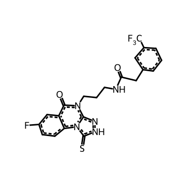 O=C(Cc1cccc(C(F)(F)F)c1)NCCCn1c(=O)c2cc(F)ccc2n2c(=S)[nH]nc12